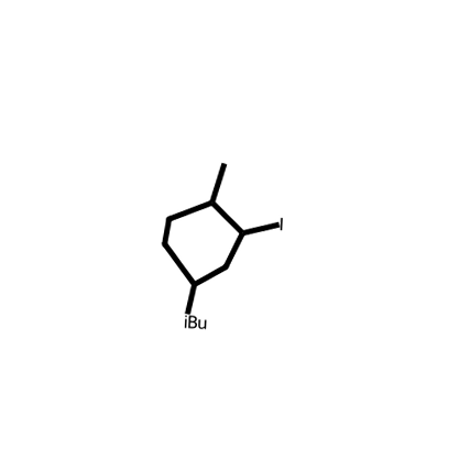 CCC(C)C1CCC(C)C(I)C1